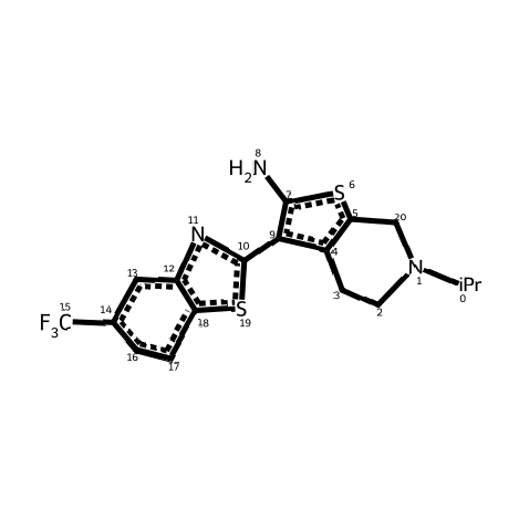 CC(C)N1CCc2c(sc(N)c2-c2nc3cc(C(F)(F)F)ccc3s2)C1